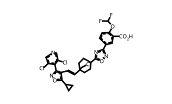 O=C(O)c1cc(-c2noc(C34CCC(C=Cc5c(-c6c(Cl)cncc6Cl)noc5C5CC5)(CC3)CC4)n2)ccc1OC(F)F